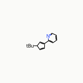 CC(C)(C)C1C=CC(c2ccccn2)=C1